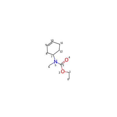 CCOC(=O)N(C)C1CC=CCC1